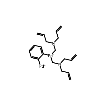 C=CCN(CC=C)[CH2][Pd-]([CH2]N(CC=C)CC=C)[c]1cccc[c]1[Pd+]